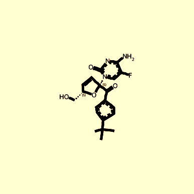 CC(C)(C)c1ccc(C(=O)[C@]2(n3cc(F)c(N)nc3=O)C=C[C@@H](CO)O2)cc1